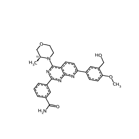 COc1ccc(-c2ccc3c(N4CCOC[C@@H]4C)nc(-c4cccc(C(N)=O)c4)nc3n2)cc1CO